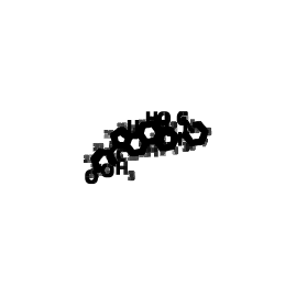 C[C@]12CC[C@H](C3CCCCN3C(=O)O)C[C@H]1CC[C@H]1C3=CC[C@H](c4ccc(=O)oc4)[C@@]3(C)CC[C@@H]12